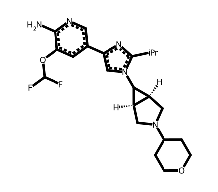 CC(C)c1nc(-c2cnc(N)c(OC(F)F)c2)cn1C1[C@H]2CN(C3CCOCC3)C[C@@H]12